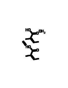 C=C.CC=C(C)C(=O)O.CC=C(C)C(=O)O.O